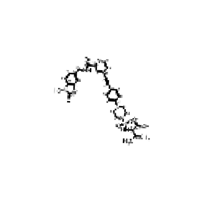 CC(C)[C@@H](NS(=O)(=O)N1CCN(c2ccc(C#Cc3ccnc(C(=O)NCc4ccc5c(c4)oc(=O)n5C)c3)cc2)CC1)C(=O)O